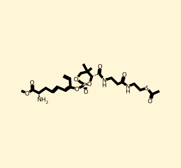 C=C/C(=C\C=C\C[C@H](N)C(=O)OC)OP1(=O)OCC(C)(C)[C@H](C(=O)NCCC(=O)NCCSC(C)=O)O1